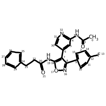 CC(=O)Nc1cc(-c2c(-c3ccc(F)cc3)noc2NC(=O)CCc2ccccc2)ccn1